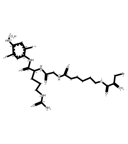 C=C(CBr)C(=O)OCCCCCC(=O)NCC(=O)NC(CCCNC(N)=O)C(=O)Nc1cc(F)c(NC(=O)O)cc1F